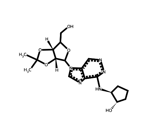 CC1(C)O[C@@H]2C(CO)OC(n3cnc4c(N[C@H]5CCC[C@@H]5O)nncc43)[C@@H]2O1